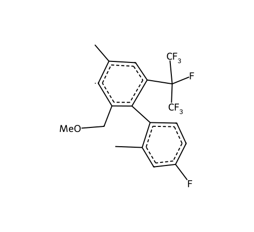 COCc1[c]c(C)cc(C(F)(C(F)(F)F)C(F)(F)F)c1-c1ccc(F)cc1C